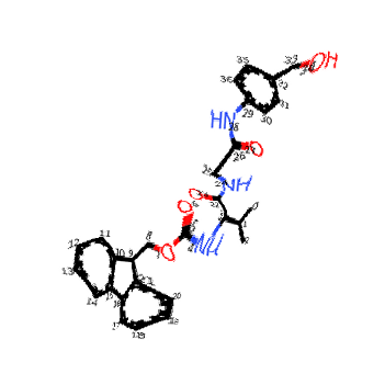 CC(C)C(NC(=O)OCC1c2ccccc2-c2ccccc21)C(=O)NCC(=O)Nc1ccc(CO)cc1